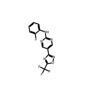 Fc1ccccc1Nc1ncc(-c2noc(C(F)(F)F)n2)cn1